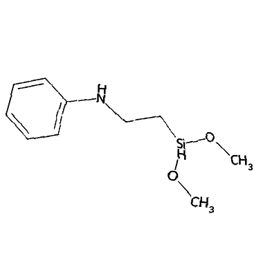 CO[SiH](CCNc1ccccc1)OC